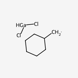 [CH2]C1CCCCC1.[Cl][GaH][Cl]